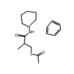 CC(=O)SCC(C)C(=O)NN1CCCCC1.c1ccccc1